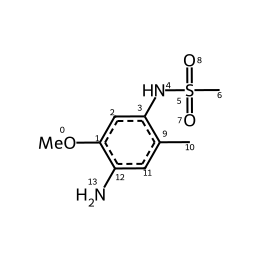 COc1cc(NS(C)(=O)=O)c(C)cc1N